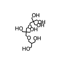 OCC(CO)COCC(CO)(CO)COCC(CO)(CO)CO